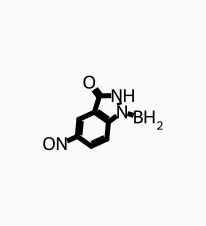 Bn1[nH]c(=O)c2cc(N=O)ccc21